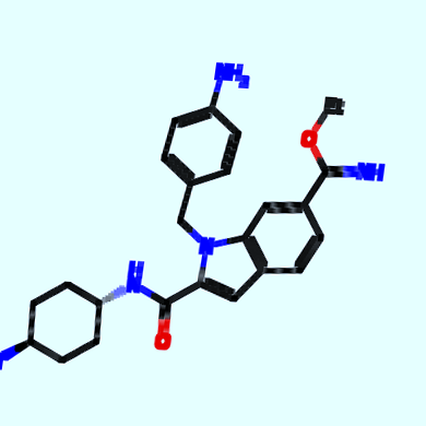 CCOC(=N)c1ccc2cc(C(=O)N[C@H]3CC[C@H](N)CC3)n(Cc3ccc(N)cc3)c2c1